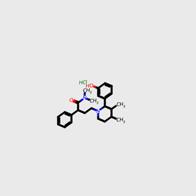 CC1CCN(CCC(C(=O)N(C)C)c2ccccc2)C(c2cccc(O)c2)C1C.Cl